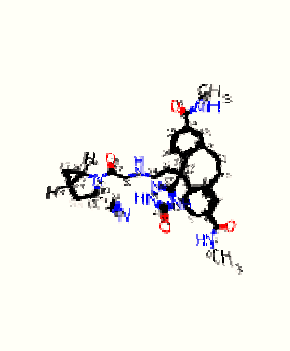 CNC(=O)c1ccc2c(c1)CCc1cc(C(=O)NC)ccc1C2(CCNCC(=O)N1[C@H](C#N)C[C@@H]2C[C@@H]21)c1n[nH]c(=O)[nH]1